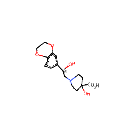 O=C(O)C1(O)CCN(C[C@H](O)c2ccc3c(c2)OCCO3)CC1